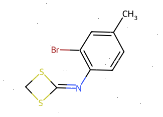 Cc1ccc(N=C2SCS2)c(Br)c1